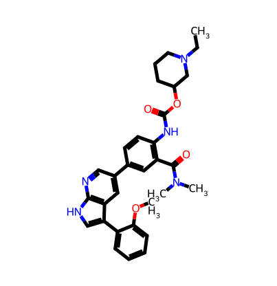 CCN1CCCC(OC(=O)Nc2ccc(-c3cnc4[nH]cc(-c5ccccc5OC)c4c3)cc2C(=O)N(C)C)C1